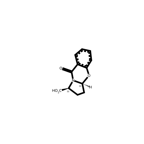 O=C(O)[C@@H]1CC[C@@H]2Oc3ccccc3C(=O)N21